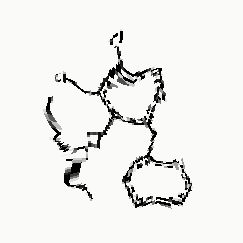 CCOCC.Clc1ccc(-c2ccccn2)c(Cl)c1Cl